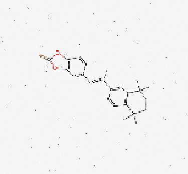 CC(=Cc1ccc2oc(=S)oc2c1)c1ccc2c(c1)C(C)(C)CCC2(C)C